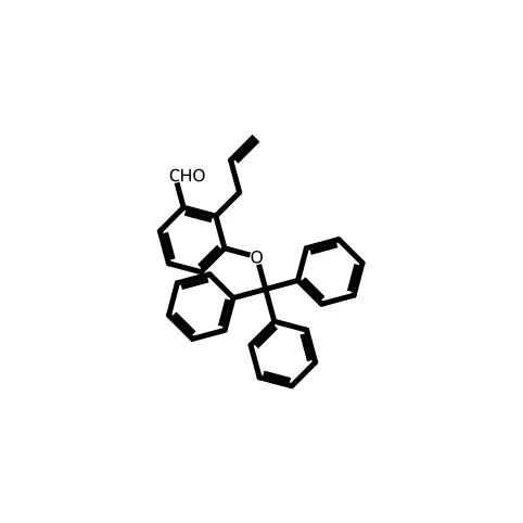 C=CCc1c(C=O)cccc1OC(c1ccccc1)(c1ccccc1)c1ccccc1